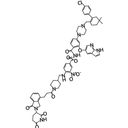 CC1(C)CCC(CN2CCN(c3ccc(C(=O)NS(=O)(=O)c4ccc(NCC5CCN(C(=O)CCc6cccc7c6CN(C6CCC(=O)NC6=O)C7=O)CC5)c([N+](=O)[O-])c4)c(Oc4cnc5[nH]ccc5c4)c3)CC2)=C(c2ccc(Cl)cc2)C1